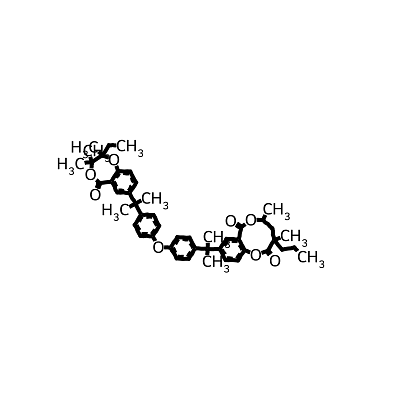 CCCC1(C)CC(C)OC(=O)c2cc(C(C)(C)c3ccc(Oc4ccc(C(C)(C)c5ccc6c(c5)C(=O)OC(C)(C)C(C)(CC)O6)cc4)cc3)ccc2OC1=O